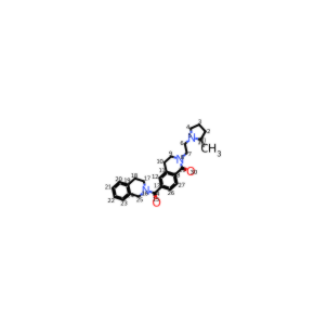 C[C@@H]1CCCN1CCN1CCc2cc(C(=O)N3CCc4ccccc4C3)ccc2C1=O